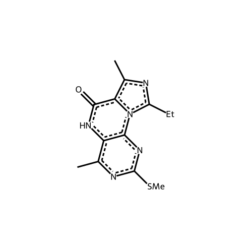 CCc1nc(C)c2c(=O)[nH]c3c(C)nc(SC)nc3n12